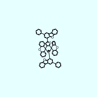 c1ccc(-c2cc(-c3cc4c(o3)C3(c5ccccc5Oc5ccccc53)c3cc(-c5cc(-c6ccccc6)cc6c5oc5ccccc56)oc3C43c4ccccc4Oc4ccccc43)c3oc4ccccc4c3c2)cc1